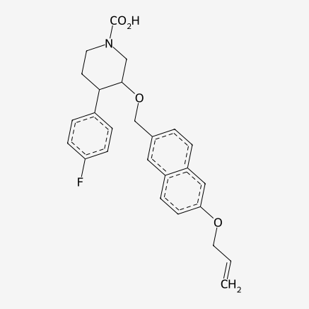 C=CCOc1ccc2cc(COC3CN(C(=O)O)CCC3c3ccc(F)cc3)ccc2c1